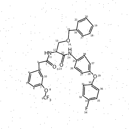 O=C(Cc1cccc(OC(F)(F)F)c1)NC(COCc1ccccc1)C(=O)Nc1ccc(Oc2ccc(F)cc2)cc1